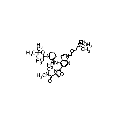 CN(C)C(=O)c1coc(-c2cnc3c(ccn3COCC[Si](C)(C)C)c2N[C@@H]2CCCN(C(=O)OC(C)(C)C)C2)n1